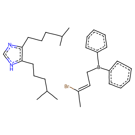 CC(Br)=CCB(c1ccccc1)c1ccccc1.CC(C)CCCc1nc[nH]c1CCCC(C)C